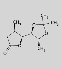 C[C@@H]1CC(=O)O[C@@H]1[C@H]1OC(C)(C)O[C@H]1C